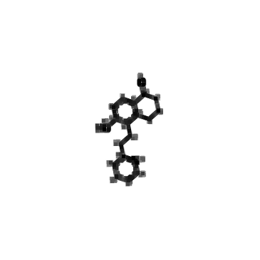 O=C1CCCc2c1ccc(O)c2CCc1ccccn1